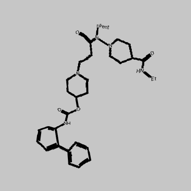 CCCCCN(C(=O)CCN1CCC(OC(=O)Nc2ccccc2-c2ccccc2)CC1)N1CCC(C(=O)NCC)CC1